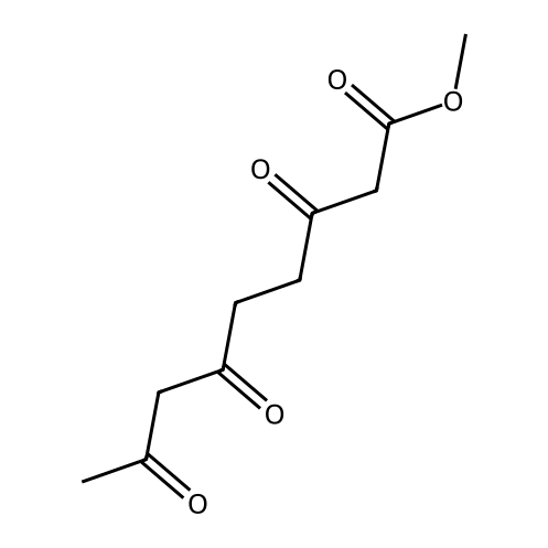 COC(=O)CC(=O)CCC(=O)CC(C)=O